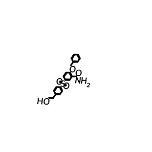 NC(=O)c1cc(S(=O)(=O)c2ccc(CCO)cc2)ccc1OCc1ccccc1